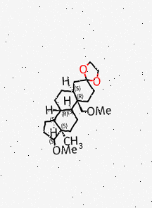 COC[C@]12CCC3(C[C@@H]1CC[C@H]1[C@@H]4CC[C@H](OC)[C@@]4(C)CC[C@@H]12)OCCO3